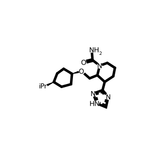 CC(C)[C@H]1CC[C@@H](OCC2C(c3nc[nH]n3)CCCN2C(N)=O)CC1